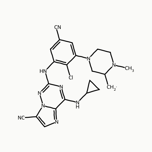 [CH2]C1CN(c2cc(C#N)cc(Nc3nc(NC4CC4)c4ncc(C#N)n4n3)c2Cl)CCN1C